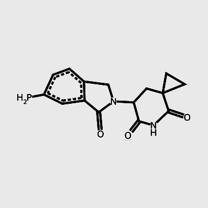 O=C1NC(=O)C2(CC2)CC1N1Cc2ccc(P)cc2C1=O